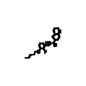 CC=CCCOc1cccc(CNC(=O)c2ccc3ncccc3c2)c1F